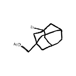 CCC12CC3CC(C1)CC(COC(C)=O)(C3)C2